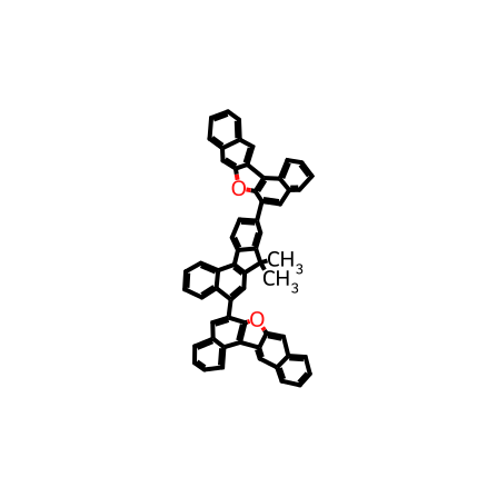 CC1(C)c2cc(-c3cc4ccccc4c4c3oc3cc5ccccc5cc34)ccc2-c2c1cc(-c1cc3ccccc3c3c1oc1cc4ccccc4cc13)c1ccccc21